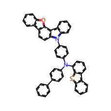 c1ccc(-c2ccc(N(c3ccc(-n4c5ccccc5c5c6oc7ccccc7c6ccc54)cc3)c3cccc4c3sc3ccccc34)cc2)cc1